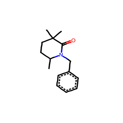 CC1CCC(C)(C)C(=O)N1Cc1ccccc1